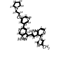 Cc1cn(-c2nccc3[nH]c(-c4n[nH]c5cnc(-c6cncc(OCCN7CCCC7)c6)cc45)cc23)cn1